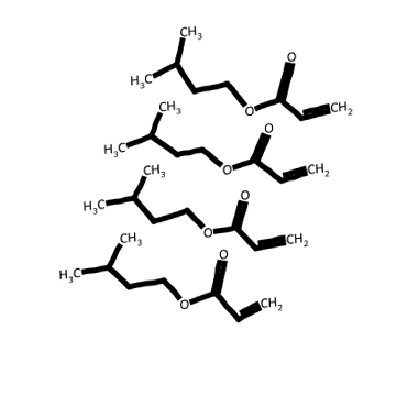 C=CC(=O)OCCC(C)C.C=CC(=O)OCCC(C)C.C=CC(=O)OCCC(C)C.C=CC(=O)OCCC(C)C